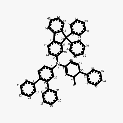 CC1C=C(N(c2ccc(-c3ccccc3)c(-c3ccccc3)c2)c2ccc3c(c2)C(c2ccccc2)(c2ccccc2)c2ccccc2-3)C=CC1c1ccccc1